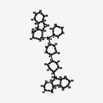 c1ccc(N(c2ccc(-c3ccc(-n4c5ccccc5c5ccccc54)cc3)cc2)c2ccnc3c2oc2ccccc23)cc1